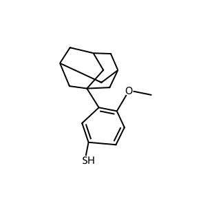 COc1ccc(S)cc1C12CC3CC(CC(C3)C1)C2